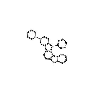 c1ccc(-c2ccc3c(n2)c2ccc4sc5ccccc5c4c2n3-c2cncnc2)cc1